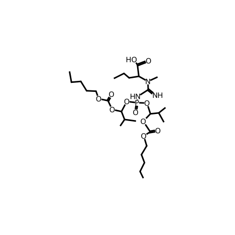 CCCCCOC(=O)OC(OP(=O)(NC(=N)N(C)C(CCC)C(=O)O)OC(OC(=O)OCCCCC)C(C)C)C(C)C